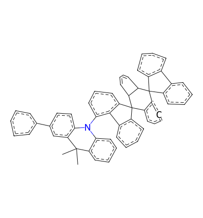 CC1(C)c2ccccc2N(c2cccc3c2-c2ccccc2C32c3ccccc3C3(c4ccccc4-c4ccccc43)C3C=CC=CC32)c2ccc(-c3ccccc3)cc21